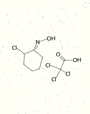 O=C(O)C(Cl)(Cl)Cl.ON=C1CCCCC1Cl